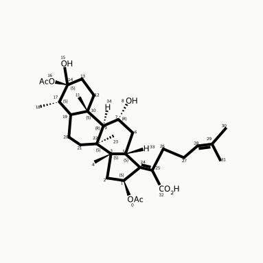 CC(=O)O[C@H]1C[C@@]2(C)[C@H](C[C@@H](O)[C@@H]3[C@@]4(C)CC[C@](O)(OC(C)=O)[C@@H](C)C4CC[C@@]32C)C1=C(CCC=C(C)C)C(=O)O